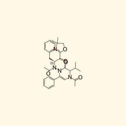 CC(=O)N1C=C(c2ccccc2)N(N(C(C)=O)[C@@H](Cc2ccccc2)C(=O)C2=NC(C)(C)CO2)C(=O)C1C(C)C